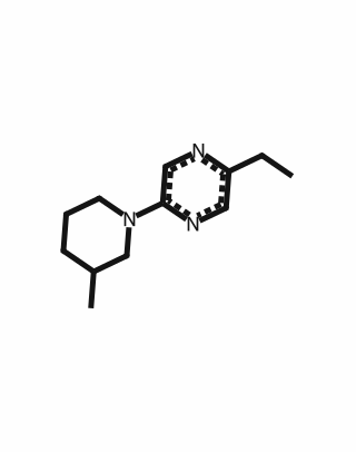 CCc1cnc(N2CCCC(C)C2)cn1